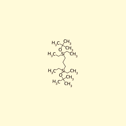 CC[Si](CC)(CCC[Si](CC)(CC)OC(C)(C)C)OC(C)(C)C